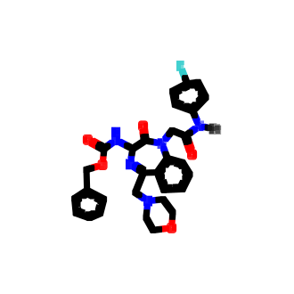 CCN(C(=O)CN1C(=O)C(NC(=O)OCc2ccccc2)N=C(CN2CCOCC2)c2ccccc21)c1ccc(F)cc1